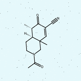 CC(=O)N1CC[C@H]2[C@H](C)C(=O)C(C#N)=CC2(C)C1